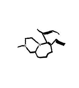 C=CC1=C(/C(C)=C\C)N2CCN(C)CC2CCC1